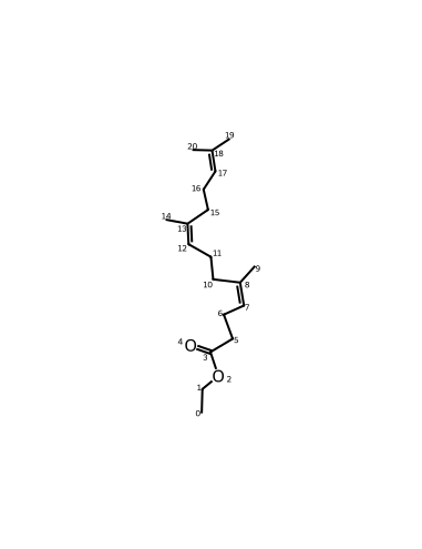 CCOC(=O)CCC=C(C)CCC=C(C)CCC=C(C)C